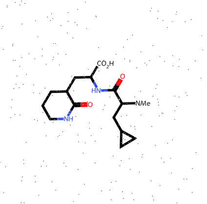 CNC(CC1CC1)C(=O)NC(CC1CCCNC1=O)C(=O)O